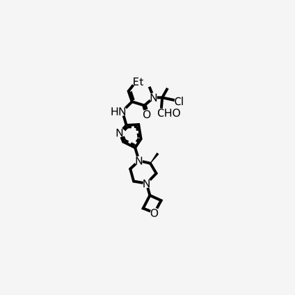 CC/C=C(/Nc1ccc(N2CCN(C3COC3)C[C@@H]2C)cn1)C(=O)N(C)C(C)(Cl)C=O